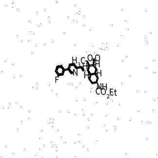 CCOC(=O)N[C@H]1CC[C@H]2[C@@H](C1)C[C@@H]1C(=O)O[C@@H](C)[C@H]1[C@H]2/C=C/c1ccc(-c2cccc(F)c2)cn1